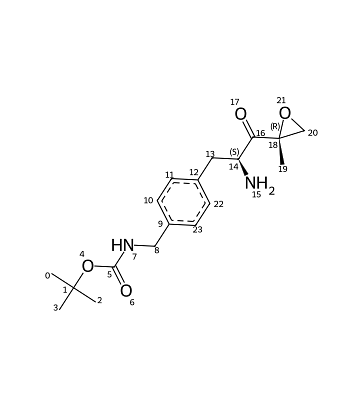 CC(C)(C)OC(=O)NCc1ccc(C[C@H](N)C(=O)[C@@]2(C)CO2)cc1